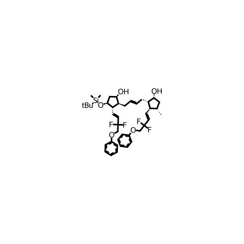 C[C@H]1C[C@@H](O)[C@@H](C/C=C/C[C@H]2[C@H](/C=C/C(F)(F)COc3ccccc3)[C@@H](O[Si](C)(C)C(C)(C)C)C[C@H]2O)[C@@H]1/C=C/C(F)(F)COc1ccccc1